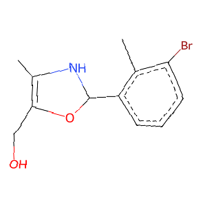 CC1=C(CO)OC(c2cccc(Br)c2C)N1